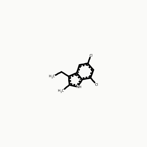 CCc1c(C)[nH]c2c(Cl)cc(Cl)cc12